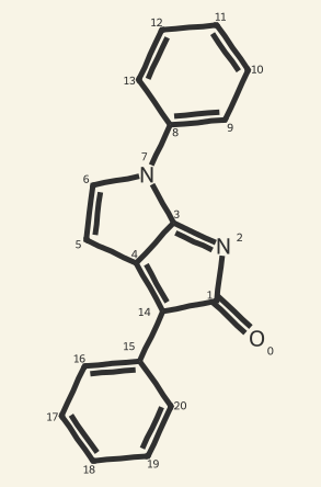 O=C1N=c2c(ccn2-c2ccccc2)=C1c1ccccc1